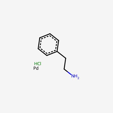 Cl.NCCc1ccccc1.[Pd]